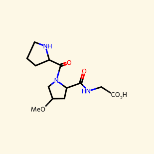 COC1CC(C(=O)NCC(=O)O)N(C(=O)C2CCCN2)C1